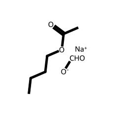 CCCCOC(C)=O.O=C[O-].[Na+]